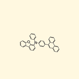 c1ccc(N(c2ccc(-c3cc4ccccc4c4ccccc34)cc2)c2cccc3c2oc2ccccc23)cc1